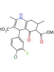 CCOC(=O)C1=C(C)NC2=C(C(=O)C(C(=O)OC)C(C)C2)C1c1ccc(Cl)c(F)c1